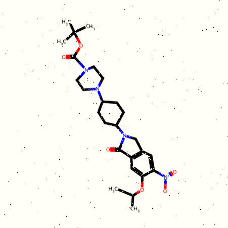 CC(C)Oc1cc2c(cc1[N+](=O)[O-])CN(C1CCC(N3CCN(C(=O)OC(C)(C)C)CC3)CC1)C2=O